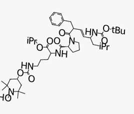 CC(C)CC(/C=C/C(Cc1ccccc1)C(=O)N1CCC[C@H]1C(=O)NC(CCCNC(=O)OC1CC(C)(C)N(O)C(C)(C)C1)C(=O)OC(C)C)NC(=O)OC(C)(C)C